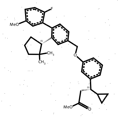 COC(=O)C[C@H](c1cccc(OCc2ccc(-c3cc(OC)ccc3F)c([C@H]3CCCC3(C)C)c2)c1)C1CC1